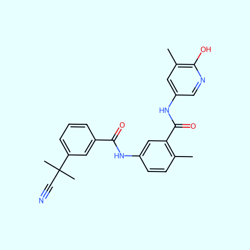 Cc1ccc(NC(=O)c2cccc(C(C)(C)C#N)c2)cc1C(=O)Nc1cnc(O)c(C)c1